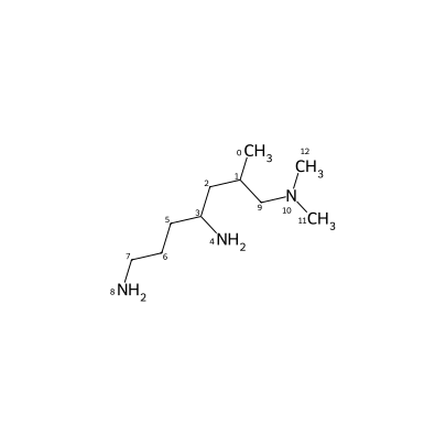 CC(CC(N)CCCN)CN(C)C